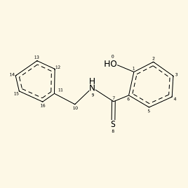 Oc1ccccc1C(=S)NCc1ccccc1